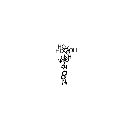 CCN(CC)c1ccc2cc(-c3ccc(/C=C(\C#N)S(=O)(=O)NC[C@H]4OC(O)[C@H](C)[C@@H](O)[C@@H]4O)n3C)ccc2c1